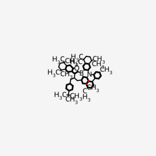 Cc1ccc(-c2ccc(C)cc2N2c3cc4c(cc3B3c5oc6cc7c(cc6c5C(Cc5ccc(C(C)(C)C)cc5)Cc5cc(C)cc2c53)C(C)(C)CCC7(C)C)C(C)(C)CCC4(C)C)cc1